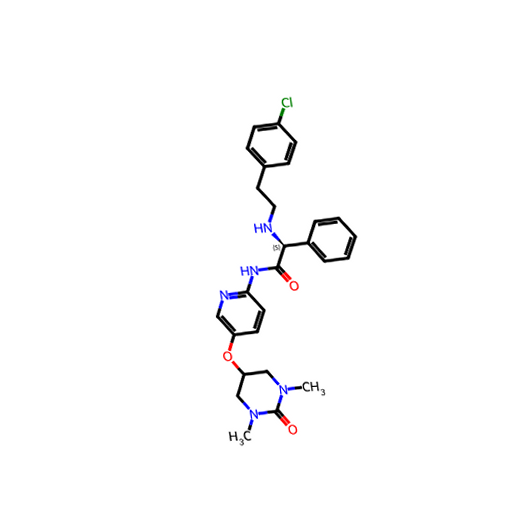 CN1CC(Oc2ccc(NC(=O)[C@@H](NCCc3ccc(Cl)cc3)c3ccccc3)nc2)CN(C)C1=O